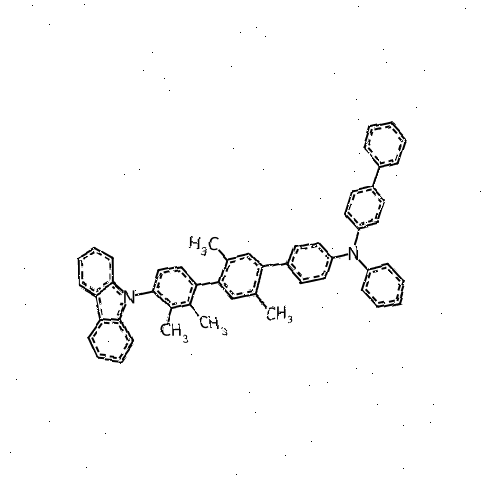 Cc1cc(-c2ccc(-n3c4ccccc4c4ccccc43)c(C)c2C)c(C)cc1-c1ccc(N(c2ccccc2)c2ccc(-c3ccccc3)cc2)cc1